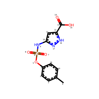 Cc1ccc(OS(=O)(=O)Nc2cc(C(=O)O)[nH]n2)cc1